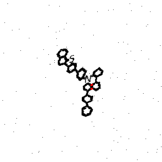 c1ccc(-c2ccc(-c3ccc(N(c4ccc(-c5ccc6c(c5)sc5c7ccccc7ccc65)cc4)c4ccccc4-c4ccccc4)cc3)cc2)cc1